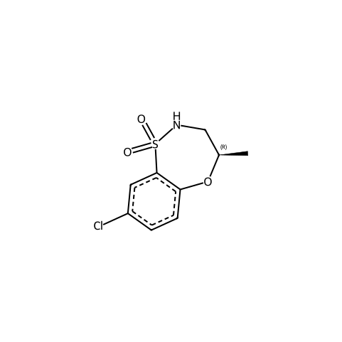 C[C@@H]1CNS(=O)(=O)c2cc(Cl)ccc2O1